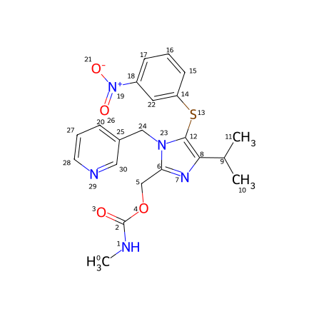 CNC(=O)OCc1nc(C(C)C)c(Sc2cccc([N+](=O)[O-])c2)n1Cc1cccnc1